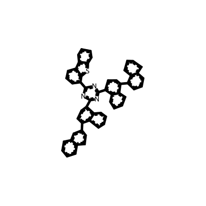 c1ccc2cc(-c3ccc(-c4nc(-c5ccc(-c6cccc7ccccc67)c6ccccc56)nc(-c5cccc6c5sc5ccccc56)n4)c4ccccc34)ccc2c1